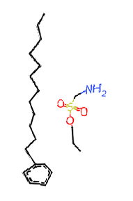 CCCCCCCCCCCCc1ccccc1.CCCOS(=O)(=O)CN